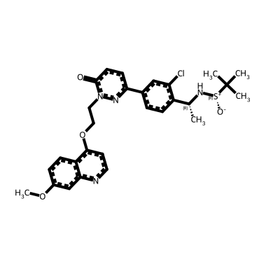 COc1ccc2c(OCCn3nc(-c4ccc([C@@H](C)N[S@@+]([O-])C(C)(C)C)c(Cl)c4)ccc3=O)ccnc2c1